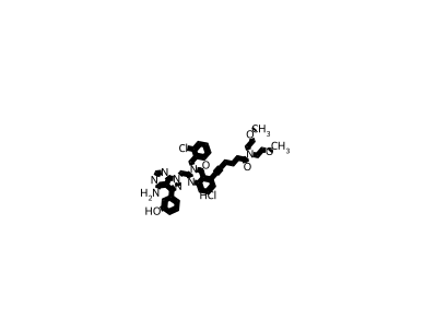 COCCN(CCOC)C(=O)CCCC#Cc1cccc2nc(Cn3nc(-c4cccc(O)c4)c4c(N)ncnc43)n(Cc3ccccc3Cl)c(=O)c12.Cl